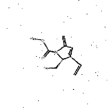 [3H]C[C@@H]1C(C=C)=CC(=C)N1C(=O)OC(C)(C)C